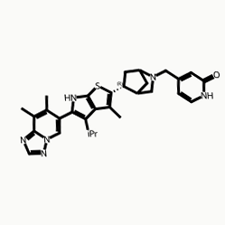 Cc1c(-c2[nH]c3sc([C@@H]4CC5CC4CN5Cc4cc[nH]c(=O)c4)c(C)c3c2C(C)C)cn2ncnc2c1C